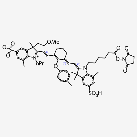 CCC[N+]1=C(/C=C/C2=C(Oc3ccc(C)cc3)C(=C/C=C3/N(CCCCCC(=O)ON4C(=O)CCC4=O)c4c(C)cc(S(=O)(=O)O)cc4C3(C)C)/CCC2)C(C)(CCOC)c2cc(S(=O)(=O)[O-])cc(C)c21